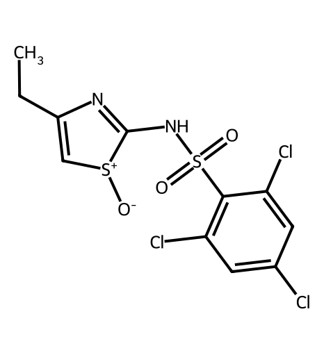 CCc1c[s+]([O-])c(NS(=O)(=O)c2c(Cl)cc(Cl)cc2Cl)n1